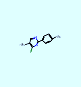 CCCCc1ccc(-c2ncc(CCCC)c(F)n2)cc1